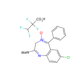 CNC1=Nc2ccc(Cl)cc2C(c2ccccc2)=[N+]([O-])C1.O=C(O)C(F)(F)C(F)F